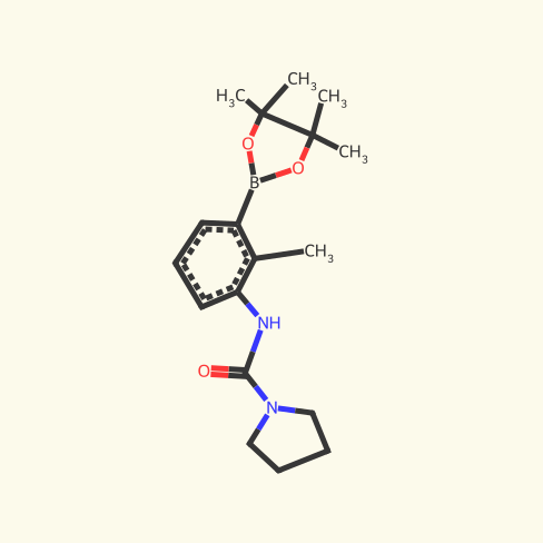 Cc1c(NC(=O)N2CCCC2)cccc1B1OC(C)(C)C(C)(C)O1